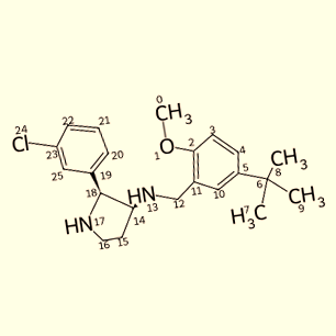 COc1ccc(C(C)(C)C)cc1CN[C@H]1CCN[C@H]1c1cccc(Cl)c1